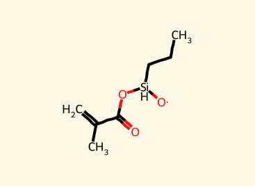 C=C(C)C(=O)O[SiH]([O])CCC